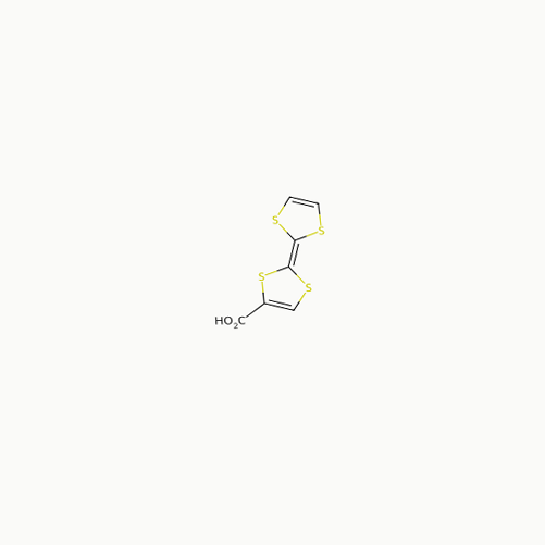 O=C(O)C1=CSC(=C2SC=CS2)S1